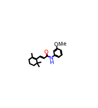 COc1cccc(NC(=O)C=CC2=C(C)CCCC2(C)C)c1